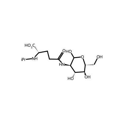 CC(C)N[C@@H](CCC(=O)N[C@H]1C(O)O[C@H](CO)[C@@H](O)[C@@H]1O)C(=O)O